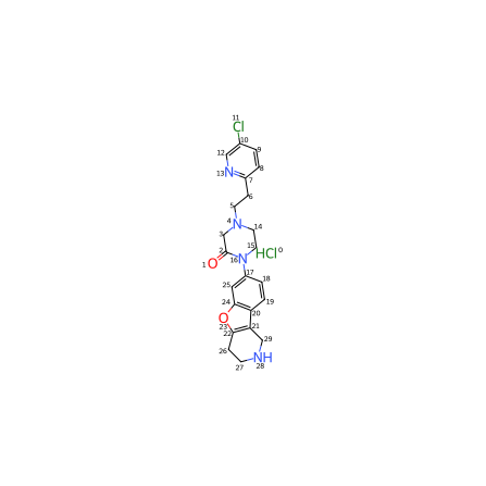 Cl.O=C1CN(CCc2ccc(Cl)cn2)CCN1c1ccc2c3c(oc2c1)CCNC3